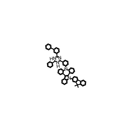 CC1(C)c2ccccc2-c2ccc(-n3c4c(c5ccccc53)-c3ccccc3N(c3cccc(C5N=C(c6cccc(-c7ccccc7)c6)NC(c6ccccc6)N5)c3)c3ccccc3-4)cc21